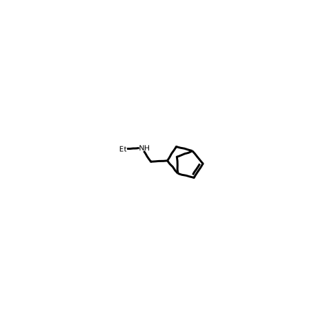 CCNCC1CC2C=CC1C2